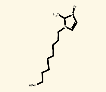 CCCCCCCCCCCCCCCCCCN1C=CN(CC)C1C